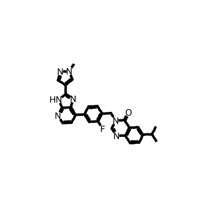 CC(C)c1ccc2ncn(Cc3ccc(-c4ccnc5[nH]c(-c6cnn(C)c6)nc45)cc3F)c(=O)c2c1